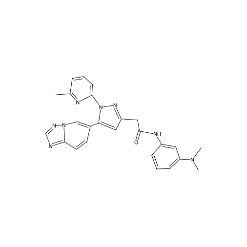 Cc1cccc(-n2nc(CC(=O)Nc3cccc(N(C)C)c3)cc2-c2ccc3ncnn3c2)n1